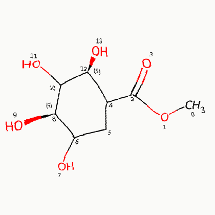 COC(=O)C1CC(O)[C@@H](O)C(O)[C@H]1O